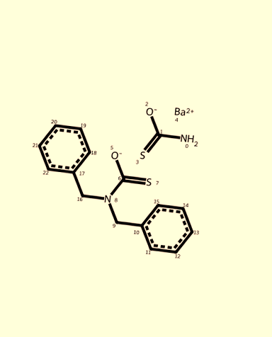 NC([O-])=S.[Ba+2].[O-]C(=S)N(Cc1ccccc1)Cc1ccccc1